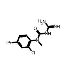 CC(C)c1ccc(N(C)C(=O)NC(=N)N)c(Cl)c1